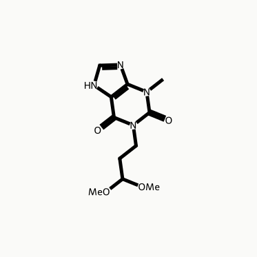 COC(CCn1c(=O)c2[nH]cnc2n(C)c1=O)OC